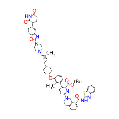 Cc1c(OC2CCC(CC[C@H](C)CN3CCN(c4nc5cc(C6CCC(=O)NC6=O)ccc5o4)CC3)CC2)cccc1-c1ccc(N2CCc3cccc(C(=O)Nc4nc5ccccc5s4)c3C2)nc1C(=O)OC(C)(C)C